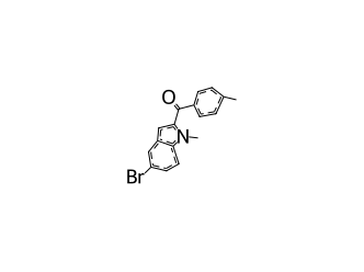 Cc1ccc(C(=O)c2cc3cc(Br)ccc3n2C)cc1